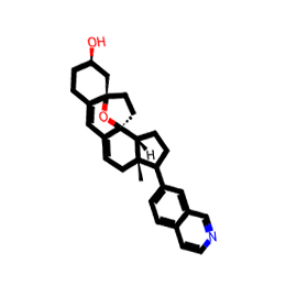 C[C@@]12CC=C3C=C4CC[C@@H](O)C[C@]45CC[C@]3(O5)[C@@H]1CCC2c1ccc2ccncc2c1